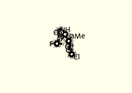 COc1cc(OS(=O)(=O)Cc2cccc(Cl)c2)ccc1C1=CCC2NC(C)(C)C(=O)N(C)C2=C1COc1cc(F)ccc1C